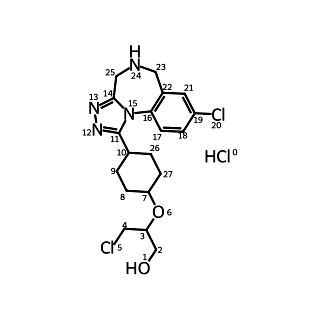 Cl.OCC(CCl)OC1CCC(c2nnc3n2-c2ccc(Cl)cc2CNC3)CC1